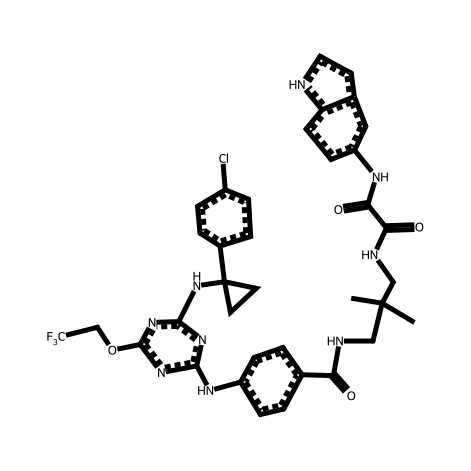 CC(C)(CNC(=O)C(=O)Nc1ccc2[nH]ccc2c1)CNC(=O)c1ccc(Nc2nc(NC3(c4ccc(Cl)cc4)CC3)nc(OCC(F)(F)F)n2)cc1